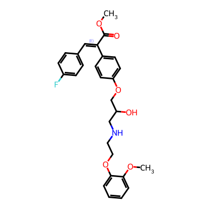 COC(=O)/C(=C/c1ccc(F)cc1)c1ccc(OCC(O)CNCCOc2ccccc2OC)cc1